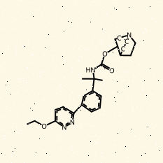 CCOc1ccc(-c2cccc(C(C)(C)NC(=O)OC3CCN4CCC3CC4)c2)nn1